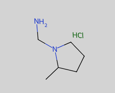 CC1CCCN1CN.Cl